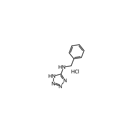 Cl.c1ccc(CNc2nnn[nH]2)cc1